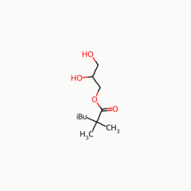 CCC(C)C(C)(C)C(=O)OCC(O)CO